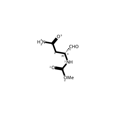 COC(=O)N[C@@H](C=O)CC(N)=O